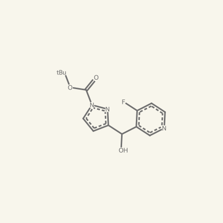 CC(C)(C)OC(=O)n1ccc(C(O)c2cnccc2F)n1